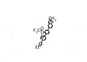 CCN1CC(c2ccc(-c3ccc(-c4ccc5nn(C)cc5c4)cc3OC(=O)C(F)(F)F)nn2)C1